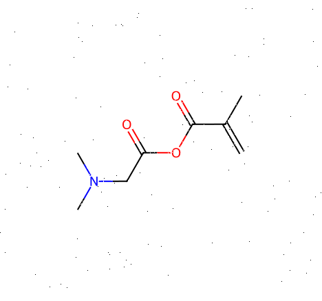 C=C(C)C(=O)OC(=O)CN(C)C